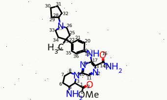 COC(=O)C1C(N)CCCN1c1cnc(C(N)=O)c(Nc2ccc(C3(C)CCN(C4CCCC4)CC3)cc2)n1